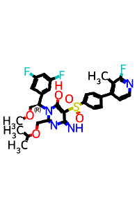 COC[C@@H](c1cc(F)cc(F)c1)n1c(COC(C)C)nc(=N)c(S(=O)(=O)c2ccc(-c3ccnc(F)c3C)cc2)c1O